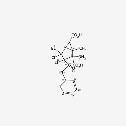 CCC1(Cl)C2C(C(=O)O)C2(C)C(N)(C(=O)O)C1(CC)C(=O)Nc1ccccc1